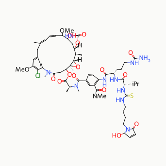 CNC(=O)c1cc(C(=O)N(C)[C@@H](C)C(=O)O[C@H]2CC(=O)N(C)c3cc(cc(OC)c3Cl)C/C(C)=C/C=C/[C@@H](OC)[C@@]3(O)C[C@H](OC(=O)N3)[C@@H](C)[C@@H]3O[C@@]23C)ccc1NC(=O)[C@H](CCCNC(N)=O)NC(=O)[C@@H](NC(=S)NCCCCN1C(=O)C=CC1O)C(C)C